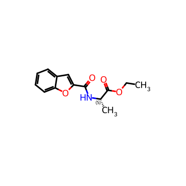 CCOC(=O)[C@H](C)NC(=O)c1cc2ccccc2o1